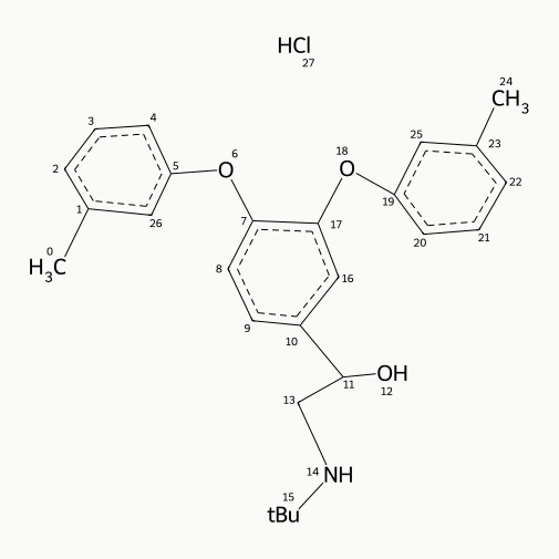 Cc1cccc(Oc2ccc(C(O)CNC(C)(C)C)cc2Oc2cccc(C)c2)c1.Cl